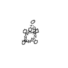 CC(C)(c1ccccc1)c1ccccc1Oc1cccc2c3nc4nc(nc5[nH]c(nc6nc(nc([nH]3)c12)-c1ccccc1-6)c1ccccc51)-c1ccccc1-4